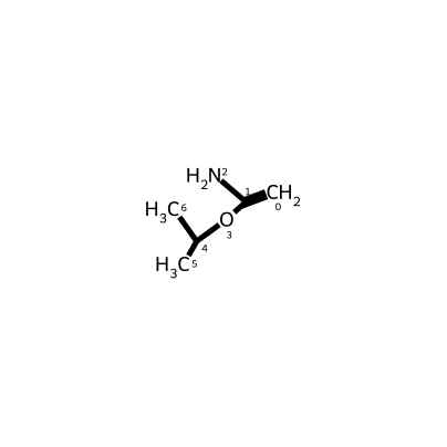 C=C(N)OC(C)C